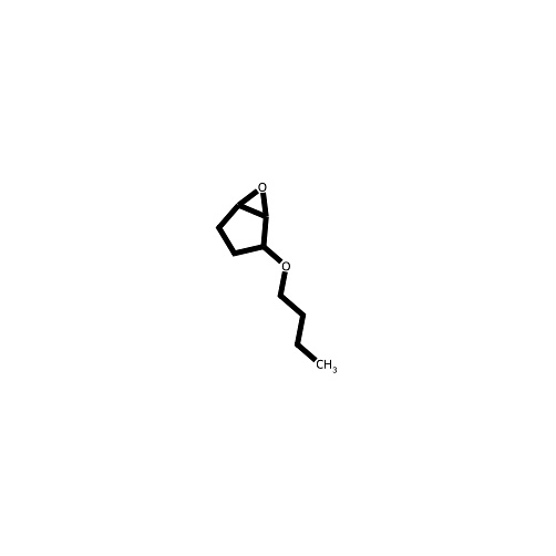 CCCCOC1CCC2OC12